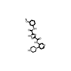 COc1cccc(NC(=O)c2nc(C(=O)Nc3cnccc3N3CCNCC3)n[nH]2)c1